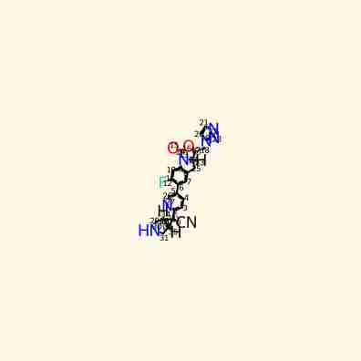 N#C[C@]1(c2ccc(-c3cc4c(cc3F)N3C(=O)O[C@@H](Cn5ccnn5)[C@@H]3C4)cn2)[C@@H]2CNC[C@@H]21